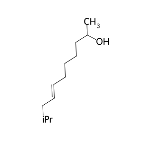 CC(C)CC=CCCCCC(C)O